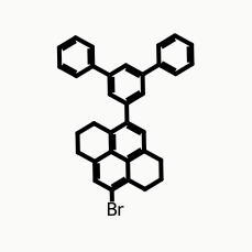 Brc1cc2c3c(c(-c4cc(-c5ccccc5)cc(-c5ccccc5)c4)cc4c3c1CCC4)CCC2